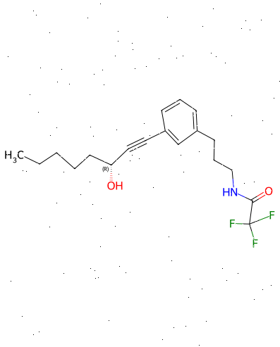 CCCCC[C@@H](O)C#Cc1cccc(CCCNC(=O)C(F)(F)F)c1